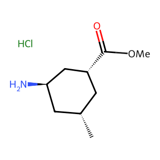 COC(=O)[C@@H]1C[C@H](C)C[C@@H](N)C1.Cl